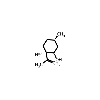 C=C(C)[C@@]1(S)CC[C@@H](C)C[C@H]1O